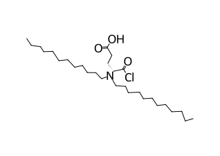 CCCCCCCCCCCCN(CCCCCCCCCCCC)[C@H](CCC(=O)O)C(=O)Cl